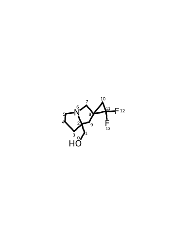 OCC12CCCN1CC1(C2)CC1(F)F